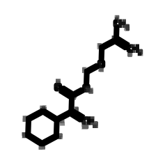 C=C(C)COCOC(=O)C(=C)C1CCCCC1